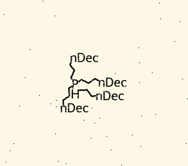 CCCCCCCCCCCCC[PH](CCCCCCCCCCCCC)(CCCCCCCCCCCCC)CCCCCCCCCCCCC